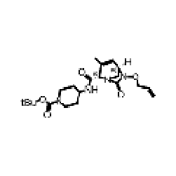 C=CCON1C(=O)N2C[C@H]1C=C(C)[C@H]2C(=O)NC1CCN(C(=O)OC(C)(C)C)CC1